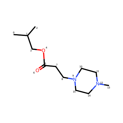 CC(C)COC(=O)CCN1CCN(C)CC1